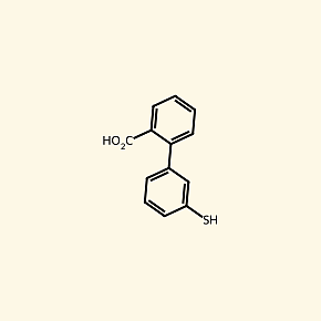 O=C(O)c1ccccc1-c1cccc(S)c1